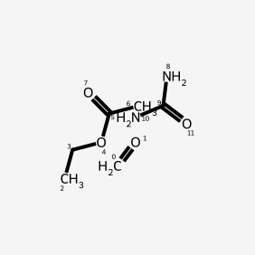 C=O.CCOC(C)=O.NC(N)=O